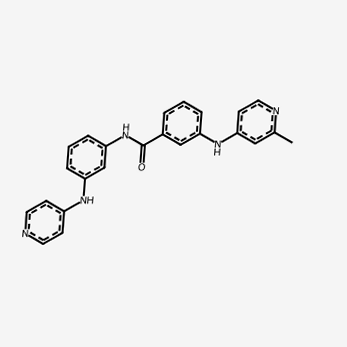 Cc1cc(Nc2cccc(C(=O)Nc3cccc(Nc4ccncc4)c3)c2)ccn1